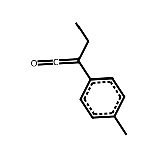 CCC(=C=O)c1ccc(C)cc1